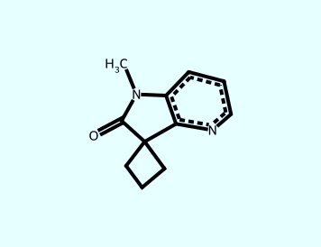 CN1C(=O)C2(CCC2)c2ncccc21